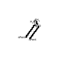 CCCCCC=CCC=CCCCCCCCC(=O)OCC(CN(C)C)OC(=O)CCCCCCCC=CCC=CCCCCC